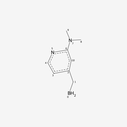 BCc1ccnc(N(C)C)c1